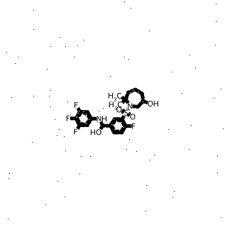 CC1(C)CCCC(O)CN1S(=O)(=O)c1cc(C(O)Nc2cc(F)c(F)c(F)c2)ccc1F